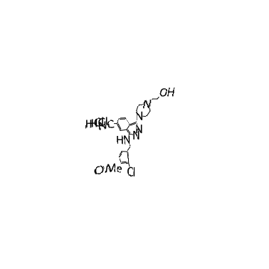 COc1ccc(CNc2nnc(N3CCN(CCO)CC3)c3ccc(C#N)cc23)cc1Cl.Cl.Cl